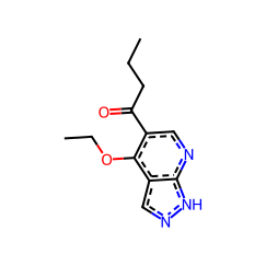 CCCC(=O)c1cnc2[nH]ncc2c1OCC